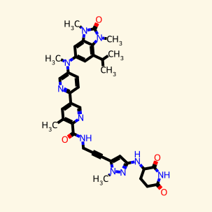 Cc1cc(-c2ccc(N(C)c3cc(C(C)C)c4c(c3)n(C)c(=O)n4C)cn2)cnc1C(=O)NCC#Cc1cc(NC2CCC(=O)NC2=O)nn1C